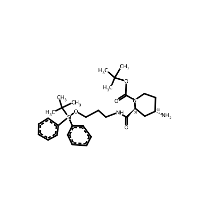 CC(C)(C)OC(=O)N1CC[C@H](N)C[C@H]1C(=O)NCCCO[Si](c1ccccc1)(c1ccccc1)C(C)(C)C